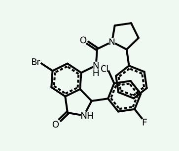 O=C1NC(c2cc(F)ccc2Cl)c2c(NC(=O)N3CCCC3c3ccccc3)cc(Br)cc21